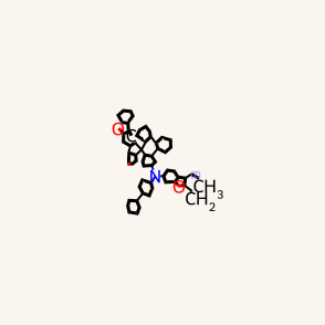 C=Cc1oc2cc(N(c3ccc(-c4ccccc4)cc3)c3ccc4c(c3)-c3ccccc3-c3ccccc3C43c4ccccc4-c4cc5oc6ccccc6c5cc43)ccc2c1/C=C\C